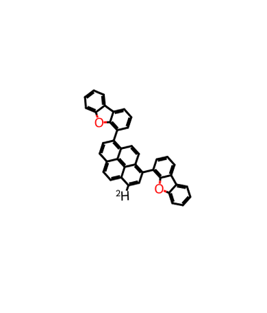 [2H]c1cc(-c2cccc3c2oc2ccccc23)c2ccc3c(-c4cccc5c4oc4ccccc45)ccc4ccc1c2c43